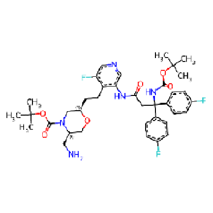 CC(C)(C)OC(=O)NC(CC(=O)Nc1cncc(F)c1CC[C@@H]1CN(C(=O)OC(C)(C)C)[C@H](CN)CO1)(c1ccc(F)cc1)c1ccc(F)cc1